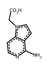 Nc1nccc2c1ccn2CC(=O)O